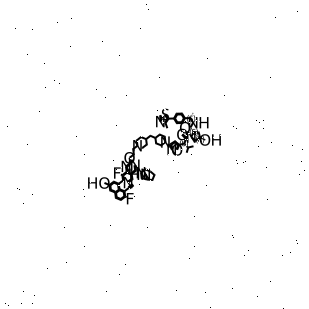 C#Cc1c(F)ccc2cc(O)cc(-c3ncc4c(N5CC6CCC(C5)N6)nc(OCCN5CCC(CC6CCN(c7cc([C@@H](C(=O)N8C[C@H](O)C[C@H]8C(=O)N[C@@H](C)c8ccc(-c9scnc9C)cc8)C(C)C)on7)CC6)CC5)nc4c3F)c12